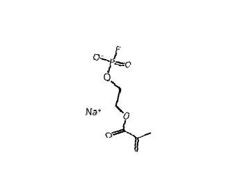 C=C(C)C(=O)OCCOP(=O)([O-])F.[Na+]